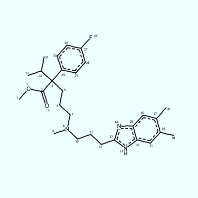 COC(=O)C(CCCN(C)CCCc1nc2cc(C)c(C)cc2[nH]1)(c1ccc(F)cc1)C(C)C